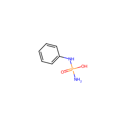 NP(=O)(O)Nc1ccccc1